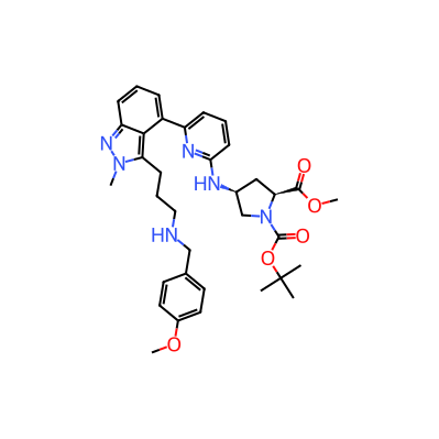 COC(=O)[C@@H]1C[C@H](Nc2cccc(-c3cccc4nn(C)c(CCCNCc5ccc(OC)cc5)c34)n2)CN1C(=O)OC(C)(C)C